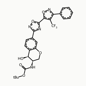 CC(C)(C)OC(=O)N[C@@H]1COc2cc(-c3noc(-c4onc(-c5ccccc5)c4C(F)(F)F)n3)ccc2[C@@H]1O